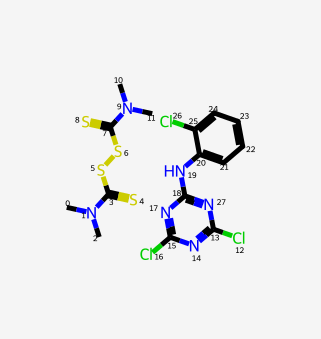 CN(C)C(=S)SSC(=S)N(C)C.Clc1nc(Cl)nc(Nc2ccccc2Cl)n1